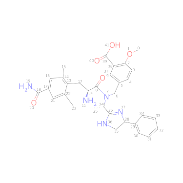 COc1ccc(CN(C(=O)[C@@H](N)Cc2c(C)cc(C(N)=O)cc2C)[C@@H](C)C2=NC(c3ccccc3)CN2)cc1C(=O)O